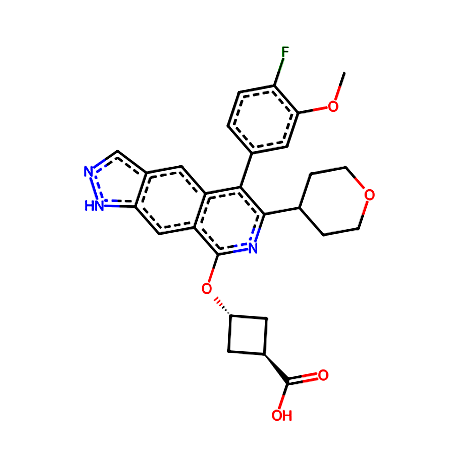 COc1cc(-c2c(C3CCOCC3)nc(O[C@H]3C[C@H](C(=O)O)C3)c3cc4[nH]ncc4cc23)ccc1F